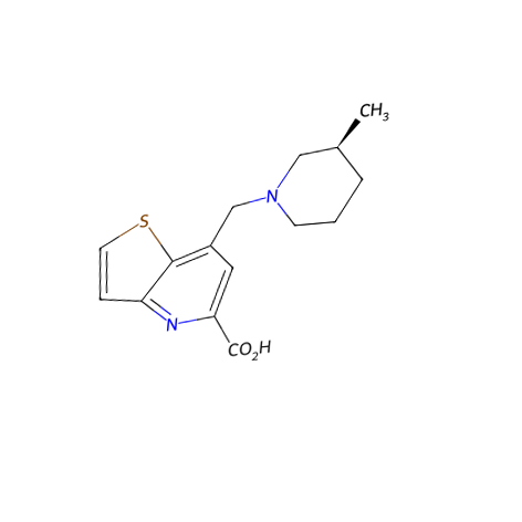 C[C@H]1CCCN(Cc2cc(C(=O)O)nc3ccsc23)C1